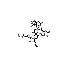 C=CC/C(=C\C[C@H](OC(=O)C[C@H](C)C(C)(C)C(=O)[C@H](C)[C@@H](OC(=O)OCC(Cl)(Cl)Cl)[C@@H](C)CC=C)C(C)Cc1csc(C)n1)C(F)(F)F